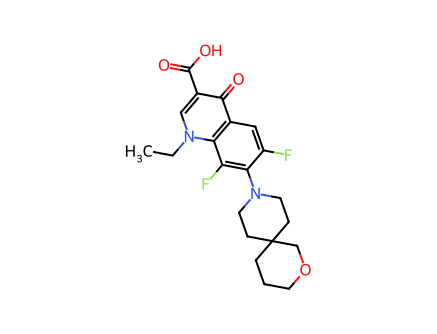 CCn1cc(C(=O)O)c(=O)c2cc(F)c(N3CCC4(CCCOC4)CC3)c(F)c21